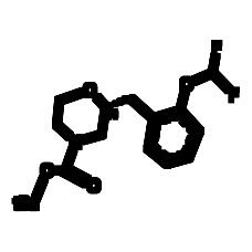 CC(C)(C)OC(=O)N1CCO[C@H](Cc2ccccc2OC(F)F)C1